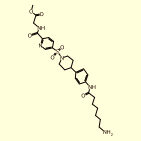 COC(=O)CNC(=O)c1ccc(S(=O)(=O)N2CCC(c3ccc(NC(=O)CCCCCCN)cc3)CC2)cn1